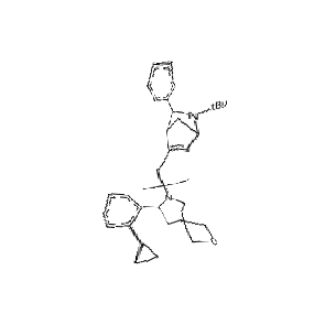 CC(C)(C)N1C2C=C(CC(C)(C)N3CC4(COC4)CC3c3ccccc3C3CC3)C(C2)C1c1ccccc1